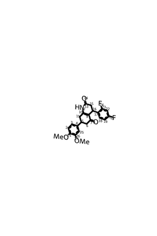 COc1ccc(C2CC(=O)C3=C(C2)NC(=O)CC3c2ccc(F)cc2F)cc1OC